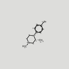 CC(C)c1ccc(N2CCN(C)C[C@H]2C)cc1